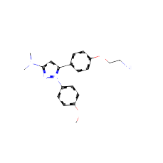 COc1ccc(-n2nc(N(C)C)cc2-c2ccc(OCCN)cc2)cc1.Cl